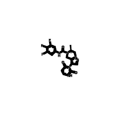 C[C@H]1Cn2ncc(-n3c(=O)cc[nH]c3=O)c2CN1C(=O)Nc1cc(F)c(F)c(F)c1